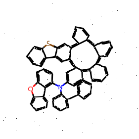 c1ccc(-c2ccccc2N(c2ccc3c4ccccc4c4ccccc4c4ccccc4c4cc5sc6ccccc6c5cc4c3c2)c2cccc3oc4ccccc4c23)cc1